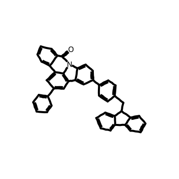 O=c1c2ccccc2c2cc(-c3ccccc3)cc3c4cc(-c5ccc(CC6c7ccccc7-c7ccccc76)cc5)ccc4n1c23